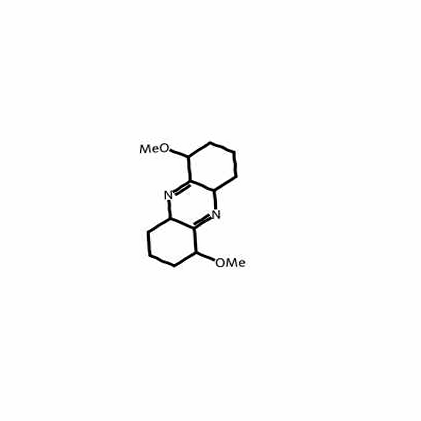 COC1CCCC2N=C3C(CCCC3OC)N=C21